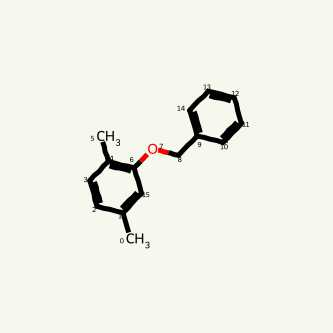 Cc1ccc(C)c(OCc2[c]cccc2)c1